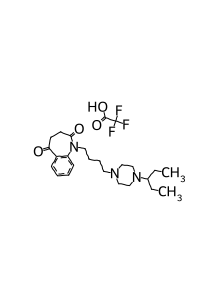 CCC(CC)N1CCN(CCCCN2C(=O)CCC(=O)c3ccccc32)CC1.O=C(O)C(F)(F)F